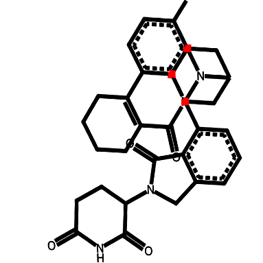 O=C1CCC(N2Cc3cccc(CN4C5CC4CN(C(=O)C4=C(c6ccc(F)cc6)CCCC4)C5)c3C2=O)C(=O)N1